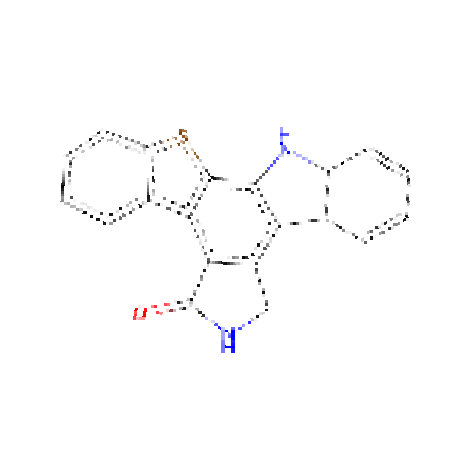 O=C1NCc2c3c(c4sc5ccccc5c4c21)NC1C=CC=CC31